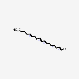 CC/C=C/C/C=C/C/C=C/C=C/CC/C=C/CCCC(=O)O